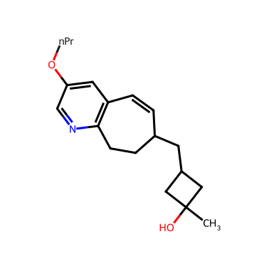 CCCOc1cnc2c(c1)C=CC(CC1CC(C)(O)C1)CC2